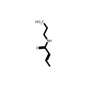 CC=CC(=O)NCCC(=O)O